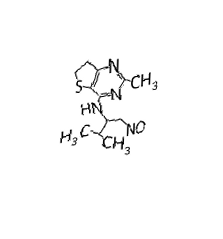 Cc1nc2c(c(NC(CN=O)C(C)C)n1)SCC2